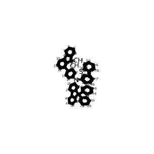 CC1(C)c2ccccc2-c2cccc(-c3ccc(N(c4ccc5c(c4)C(c4ccccc4)(c4ccccc4)c4ccccc4-5)c4cccc5c4sc4ccccc45)cc3)c21